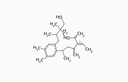 C=C(O)/C(=C/C)C(=C)CC(C)c1cc(C)c(C)cc1CC(C)C(C)(C)CO